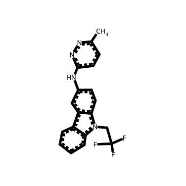 Cc1ccc(Nc2ccc3c(c2)c2ccccc2n3CC(F)(F)F)nn1